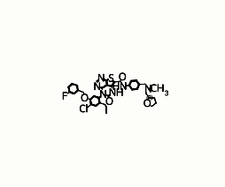 CN(Cc1ccc(NC(=O)c2sc3ncnc4c3c2NC(=O)N4c2cc(OCc3cccc(F)c3)c(Cl)cc2CI)cc1)C[C@H]1CCCO1